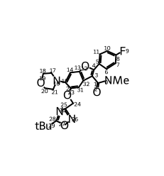 CNC(=O)c1c(-c2ccc(F)cc2)oc2cc(N3CCOCC3)c(OCc3noc(C(C)(C)C)n3)cc12